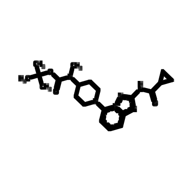 CN(C(=O)OC(C)(C)C)C1CCN(c2cccc3nc(NC(=O)C4CC4)nn23)CC1